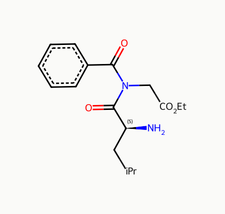 CCOC(=O)CN(C(=O)c1ccccc1)C(=O)[C@@H](N)CC(C)C